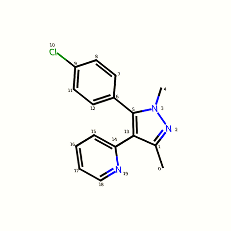 Cc1nn(C)c(-c2ccc(Cl)cc2)c1-c1ccccn1